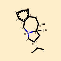 CC(C)[C@H]1C[C@H]2[C@H](C)Cc3ccccc3CN2C1